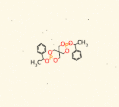 CC(OP1OCC2(CO1)COP(OC(C)c1ccccc1)OC2)c1ccccc1